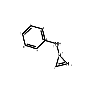 C1=NN1Nc1ccccc1